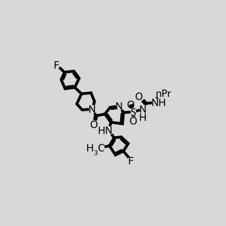 CCCNC(=O)NS(=O)(=O)c1cc(Nc2ccc(F)cc2C)c(C(=O)N2CCC(c3ccc(F)cc3)CC2)cn1